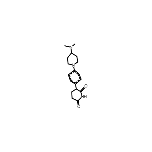 CN(C)C1CCN(c2ccc(C3CCC(=O)NC3=O)cc2)CC1